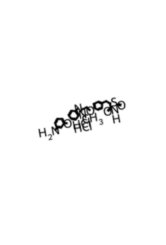 Cl.Cl.Cn1c(COc2ccc(CC3SC(=O)NC3=O)cc2)nc2ccc(Oc3cccc(N)c3)cc21